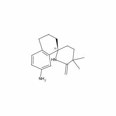 C=C1N[C@@]2(CCCc3ccc(N)cc32)CCC1(C)C